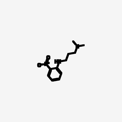 CN(C)CCCNc1ccccc1[N+](=O)[O-]